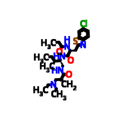 C=C(CN(CC)CC)C(=O)NC[C@@H](NC(=O)[C@H](Cc1nc2ccc(Cl)cc2s1)NC(=O)CC)[C@@H](C)CC